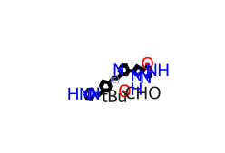 CC(C)(C)OC=O.O=c1[nH]cnc2[nH]c(-c3ccnc(/C=C/c4ccc(CN5CCNCC5)cc4)c3)cc12